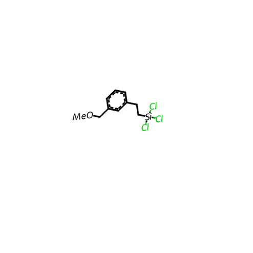 COCc1cccc(CC[Si](Cl)(Cl)Cl)c1